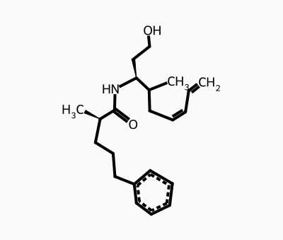 C=C/C=C\CC(C)[C@H](CCO)NC(=O)[C@H](C)CCCc1ccccc1